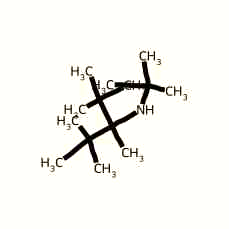 CC(C)(C)NC(C)(C(C)(C)C)C(C)(C)C